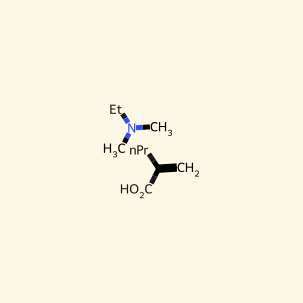 C=C(CCC)C(=O)O.CCN(C)C